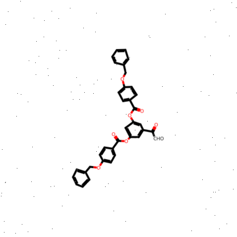 O=CC(=O)c1cc(OC(=O)c2ccc(OCc3ccccc3)cc2)cc(OC(=O)c2ccc(OCc3ccccc3)cc2)c1